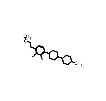 COCCc1ccc(C2CCC(C3CCC(C)CC3)CC2)c(F)c1F